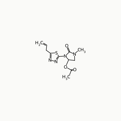 C=CCc1nnc(N2C(=O)N(C)CC2OC(C)=O)s1